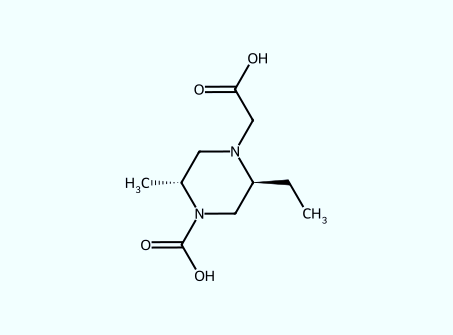 CC[C@H]1CN(C(=O)O)[C@H](C)CN1CC(=O)O